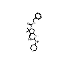 CC1(C)C2=CNC(NC3CCOCC3)NC2CN1C(=O)NCc1ccccc1